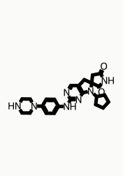 O=C1CC2(Cc3cnc(Nc4ccc(N5CCNCC5)cc4)nc3N2C2CCCC2)C(=O)N1